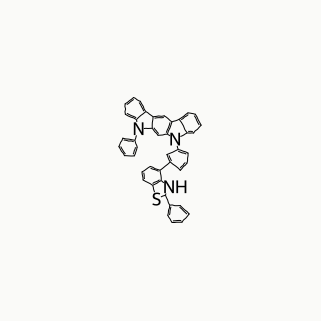 c1ccc(C2Nc3c(cccc3-c3cccc(-n4c5ccccc5c5cc6c7ccccc7n(-c7ccccc7)c6cc54)c3)S2)cc1